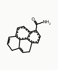 NC(=O)c1ccc2c3c4c(ccc13)C=CCC4=CC2